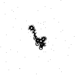 CC(=O)Oc1cc(OCCCCCc2ccccc2)cc2c1C1CC(=O)CCC1C1CCCCC21